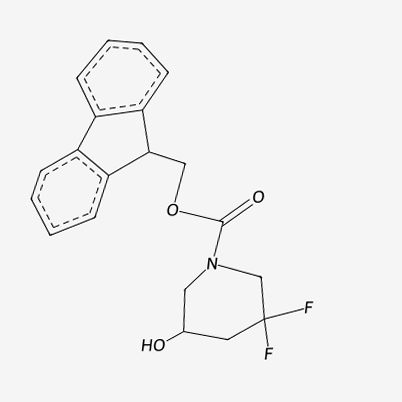 O=C(OCC1c2ccccc2-c2ccccc21)N1CC(O)CC(F)(F)C1